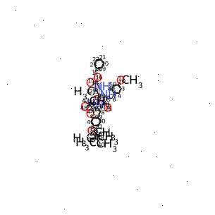 COc1ccc(C[C@H](NC(=O)[C@@H](C)NC(=O)OCc2ccccc2)C(=O)N[C@@H](Cc2ccc(O[Si](C)(C)C(C)(C)C)cc2)C(=O)[C@@]2(C)CO2)cc1